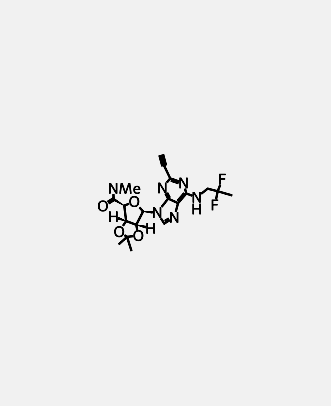 C#Cc1nc(NCC(C)(F)F)c2ncn([C@@H]3O[C@H](C(=O)NC)[C@H]4OC(C)(C)O[C@H]43)c2n1